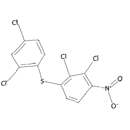 O=[N+]([O-])c1ccc(Sc2ccc(Cl)cc2Cl)c(Cl)c1Cl